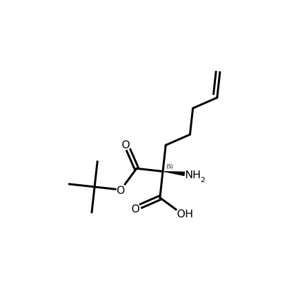 C=CCCC[C@](N)(C(=O)O)C(=O)OC(C)(C)C